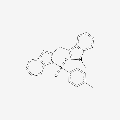 Cc1ccc(S(=O)(=O)n2c(Cc3cn(C)c4ccccc34)cc3ccccc32)cc1